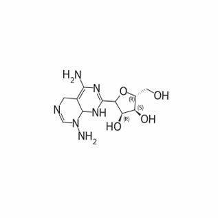 NC1=C2CN=CN(N)C2NC(C2O[C@H](CO)[C@@H](O)[C@H]2O)=N1